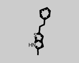 Cc1cc2cc(CCc3ccccc3)sc2[nH]1